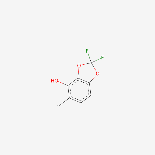 [CH2]c1ccc2c(c1O)OC(F)(F)O2